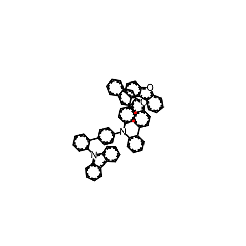 c1ccc(N(c2ccc(-c3ccccc3-n3c4ccccc4c4ccccc43)cc2)c2ccc(-c3cccc4oc5ccccc5c34)cc2)c(-c2ccc3oc4cc5ccccc5cc4c3c2)c1